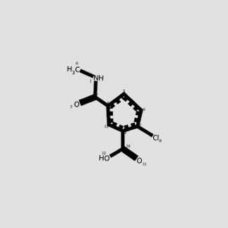 CNC(=O)c1ccc(Cl)c(C(=O)O)c1